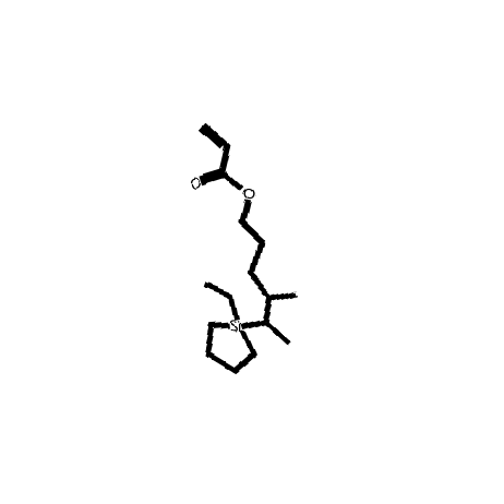 C=CC(=O)OCCCC(C)C(C)[Si]1(CC)CCCC1